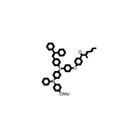 C/C=C/C=C(\C)C(=O)c1ccc(Oc2ccc(N(c3ccc(C=C(c4ccccc4)c4ccccc4)cc3)c3ccc(N(c4ccccc4)c4ccc(OC)cc4)cc3)cc2)cc1